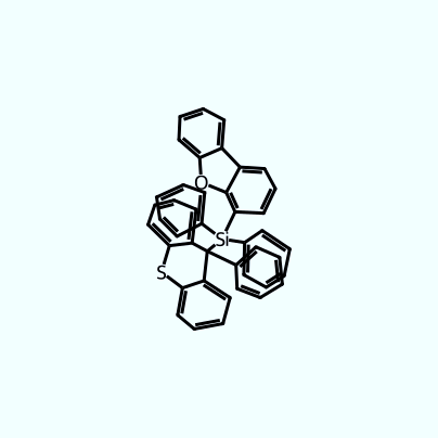 c1ccc(C2([Si](c3ccccc3)(c3ccccc3)c3cccc4c3oc3ccccc34)c3ccccc3Sc3ccccc32)cc1